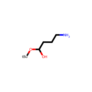 CC(C)(C)OC(O)CCCN